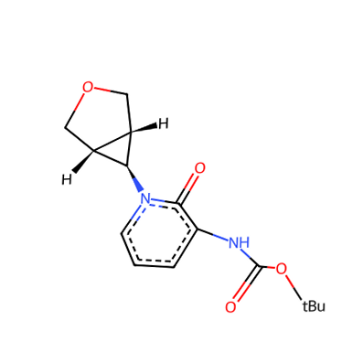 CC(C)(C)OC(=O)Nc1cccn([C@H]2[C@@H]3COC[C@@H]32)c1=O